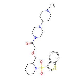 CN1CCC(N2CCN(C(=O)COCC3CCCCN3S(=O)(=O)c3csc4ccccc34)CC2)CC1